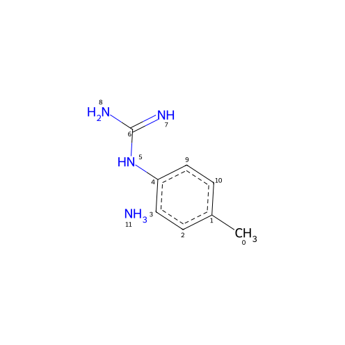 Cc1ccc(NC(=N)N)cc1.N